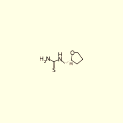 NC(=S)NC[C@H]1CCCO1